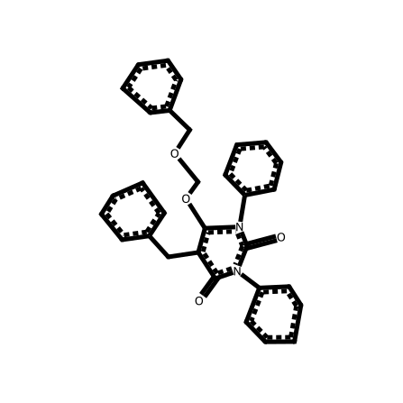 O=c1c(Cc2ccccc2)c(OCOCc2ccccc2)n(-c2ccccc2)c(=O)n1-c1ccccc1